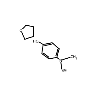 C1CCOC1.CCCCN(C)c1ccc(O)cc1